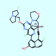 CC(C)[Si](C#Cc1c(F)ccc2cc(O)cc(-c3nc4c5c(nc(OC[C@@]67CCCN6C[C@H](F)C7)nc5c3F)N3CCCOCC3CC4)c12)(C(C)C)C(C)C